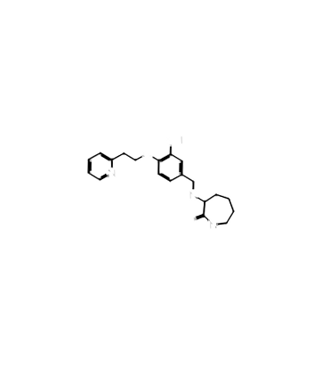 Cc1cc(CNC2CCCCNC2=O)ccc1OCCc1ccccn1